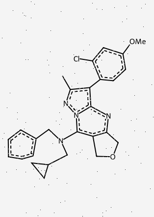 COc1ccc(-c2c(C)nn3c(N(Cc4ccccc4)CC4CC4)c4c(nc23)COC4)c(Cl)c1